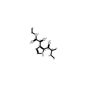 CCOC(=O)C(=O)c1ccsc1C(=O)C(C)CC